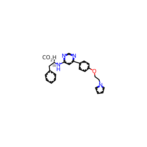 O=C(O)[C@H](Cc1ccccc1)Nc1cc(-c2ccc(OCCn3cccc3)cc2)ncn1